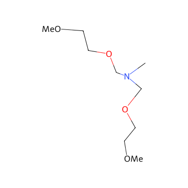 COCCOCN(C)COCCOC